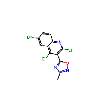 Cc1noc(-c2c(Cl)nc3ccc(Br)cc3c2Cl)n1